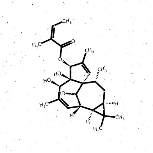 C/C=C(/C)C(=O)O[C@H]1C(C)=C[C@]23C(O)[C@@H](C=C(C)[C@@H](O)[C@]12O)[C@H]1[C@@H](C[C@H]3C)C1(C)C